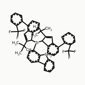 CC(C)(C)C1=Cc2c(-c3ccccc3C(F)(F)F)cccc2[CH]1[Zr]([c]1cccc2c1[SiH2]c1ccccc1-2)[CH]1C(C(C)(C)C)=Cc2c(-c3ccccc3C(F)(F)F)cccc21